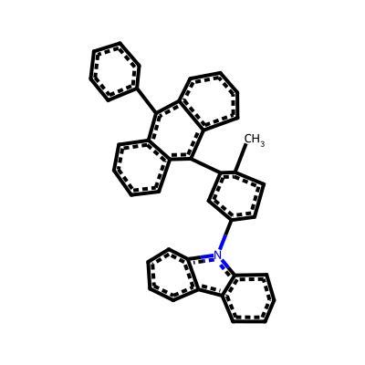 Cc1ccc(-n2c3ccccc3c3ccccc32)cc1-c1c2ccccc2c(-c2ccccc2)c2ccccc12